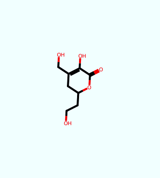 O=C1OC(CCO)CC(CO)=C1O